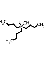 CCCCP(C)(I)(CCCC)CCCC